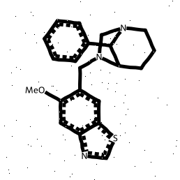 COc1cc2ncsc2cc1CN1CN2CCCC1C2c1ccccc1